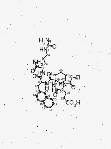 NC(=O)NCCC[C@H](NC(=O)[C@H](Cc1ccc2ccccc2c1)NC(=O)C1(NC(=O)[C@H](CCC(=O)O)NC(=O)CCl)CCCCC1)C(N)=O